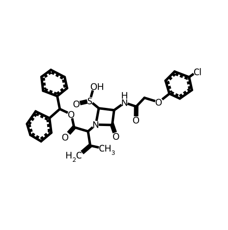 C=C(C)C(C(=O)OC(c1ccccc1)c1ccccc1)N1C(=O)C(NC(=O)COc2ccc(Cl)cc2)C1S(=O)O